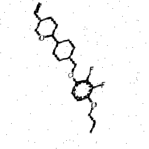 C=CC1CCC(C2CCC(COc3ccc(OCCC)c(F)c3F)CC2)OC1